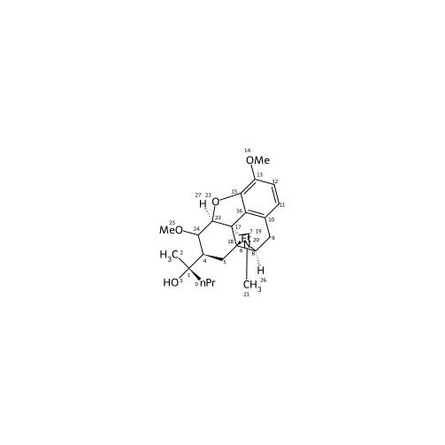 CCC[C@](C)(O)[C@@H]1C[C@@]2(CC)[C@@H]3Cc4ccc(OC)c5c4[C@]2(CCN3C)[C@H](O5)C1OC